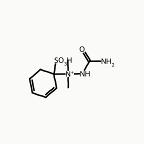 C[N+](C)(NC(N)=O)C1(S(=O)(=O)O)C=CC=CC1